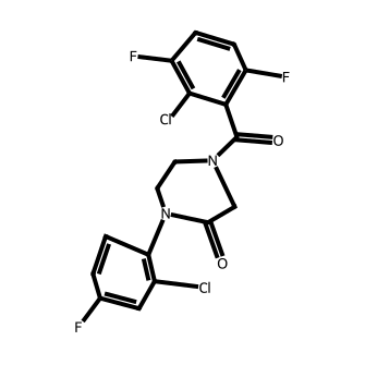 O=C(c1c(F)ccc(F)c1Cl)N1CCN(c2ccc(F)cc2Cl)C(=O)C1